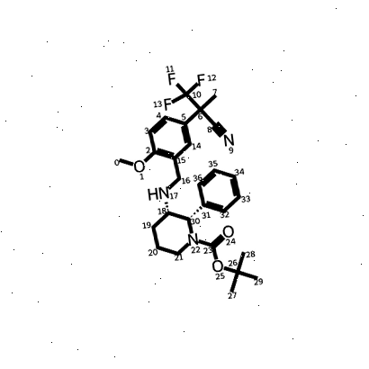 COc1ccc(C(C)(C#N)C(F)(F)F)cc1CN[C@H]1CCCN(C(=O)OC(C)(C)C)[C@H]1c1ccccc1